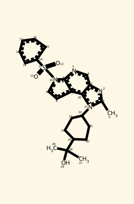 Cc1nc2cnc3c(ccn3S(=O)(=O)c3ccccc3)c2n1C1CCC(C(C)(C)O)CC1